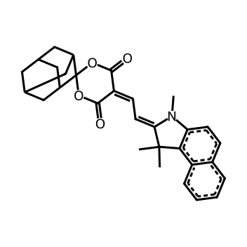 CN1/C(=C\C=C2C(=O)OC3(OC2=O)C2CC4CC(C2)CC3C4)C(C)(C)c2c1ccc1ccccc21